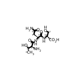 C[C@@H](O)[C@H](N)C(=O)N[C@@H](CC(N)=O)C(=O)N[C@@H](CO)C(=O)O